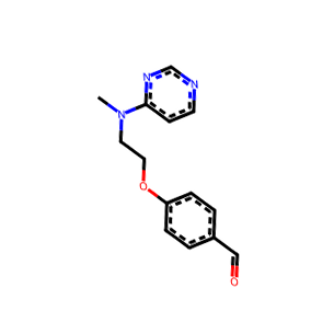 CN(CCOc1ccc(C=O)cc1)c1ccncn1